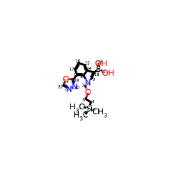 C[Si](C)(C)CCOCn1cc(B(O)O)c2cccc(-c3nnco3)c21